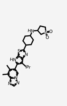 Cc1c(-c2[nH]c3sc(C4CCC(NC5CCS(=O)(=O)C5)CC4)nc3c2C(C)C)cn2ncnc2c1C